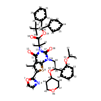 Cc1c(-c2ncco2)sc2c1c(=O)n(C(C)(C)C(=O)O[Si](c1ccccc1)(c1ccccc1)C(C)(C)C)c(=O)n2C[C@H](OC1CCOCC1)c1ccccc1OC(C)C